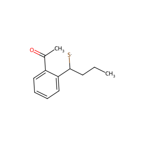 CCCC([S])c1ccccc1C(C)=O